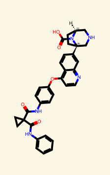 O=C(O)N1[C@H]2CC[C@@]1(c1ccc3c(Oc4ccc(NC(=O)C5(C(=O)Nc6ccccc6)CC5)cc4)ccnc3c1)CNC2